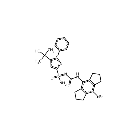 CCCc1c2c(c(NC(=O)N=S(N)(=O)c3cc(C(C)(C)O)n(-c4ccccc4)n3)c3c1CCC3)CCC2